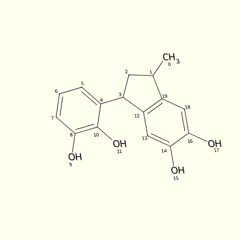 CC1CC(c2cccc(O)c2O)c2cc(O)c(O)cc21